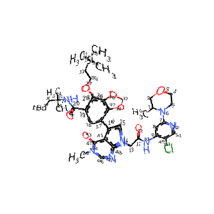 CC1COCCN1c1cc(NC(=O)Cn2cc(-c3cc(C(=O)NC(C)(C)CC(C)(C)C)c(OCC[Si](C)(C)C)c4c3OCO4)c3c(=O)n(C)cnc32)c(Cl)cn1